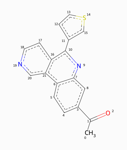 CC(=O)c1ccc2c(c1)nc(-c1ccsc1)c1ccncc12